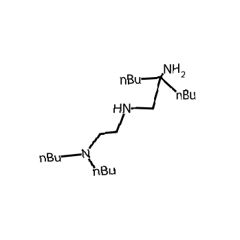 CCCCN(CCCC)CCNCC(N)(CCCC)CCCC